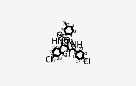 Cc1cccc(S(=O)(=O)NC(C2=NNC(c3ccc(Cl)cc3)C2)c2ccc(Cl)cc2Cl)c1